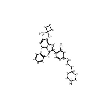 CC1(Oc2cccc3c2nc(-c2ccc(OCCN4CCNCC4)cc2Cl)n3Cc2ccccc2)CCC1